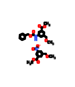 COCc1cc(C(=O)OC)cc([N+](=O)[O-])c1.COCc1cc(NC(=O)OCc2ccccc2)cc(C(=O)OC)c1